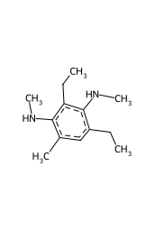 CCc1cc(C)c(NC)c(CC)c1NC